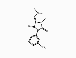 CN(C)C=C1C(=O)N(c2cccc(C(F)(F)F)c2)C(=O)N1C